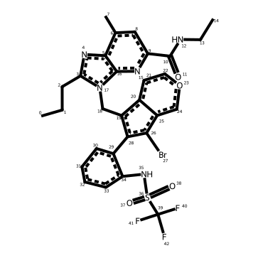 CCCc1nc2c(C)cc(C(=O)NCC)nc2n1Cc1c2ccocc-2c(Br)c1-c1ccccc1NS(=O)(=O)C(F)(F)F